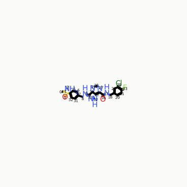 C=S(N)(=O)c1ccc(CNc2n[nH]c3c(C(=O)NCc4ccc(F)c(Cl)c4)ncnc23)cc1